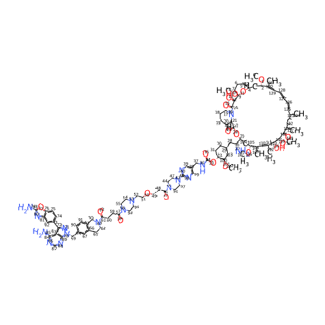 CO[C@H]1C[C@@H]2CC[C@@H](C)[C@@](O)(O2)C(=O)C(=O)N2CCCC[C@H]2C(=O)O[C@H]([C@H](N)C[C@@H]2CC[C@@H](OC(=O)NCc3cnc(N4CCN(C(=O)CCOCCN5CCN(C(=O)CCC(=O)N6CCc7cc(Cn8nc(-c9ccc%10oc(N)nc%10c9)c9c(N)ncnc98)ccc7C6)CC5)CC4)nc3)[C@H](OC)C2)C[C@@H](OC)[C@H](C)/C=C(\C)[C@@H](O)[C@@H](OC)C(=O)[C@H](C)C[C@H](C)/C=C/C=C/C=C/1C